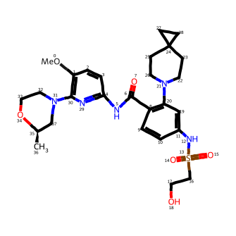 COc1ccc(NC(=O)c2ccc(NS(=O)(=O)CCO)cc2N2CCC3(CC2)CC3)nc1N1CCO[C@H](C)C1